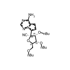 CCCCOC[C@H]1O[C@@](C#N)(c2ccc3c(N)ncnn23)[C@H](OCCCC)[C@@H]1OCCCC